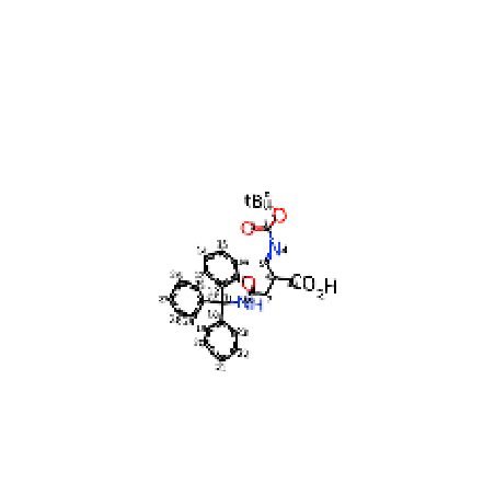 CC(C)(C)OC(=O)/N=C/C(CC(=O)NC(c1ccccc1)(c1ccccc1)c1ccccc1)C(=O)O